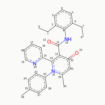 CCc1cccc(CC)c1NC(=O)c1c(-c2ccccn2)n(-c2ccc(C)cc2)c(C)cc1=O